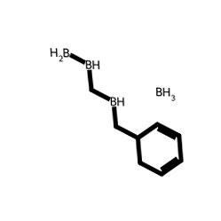 B.BBCBCC1C=CC=CC1